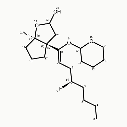 CCCC[C@@H](F)CC=C(OC1CCCCO1)[C@@]12CCC[C@@]1(C)OC(O)C2